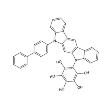 Oc1c(O)c(O)c(-n2c3ccccc3c3cc4c5ccccc5n(-c5ccc(-c6ccccc6)cc5)c4cc32)c(O)c1O